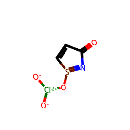 O=C1C=CS(O[Cl+2]([O-])[O-])=N1